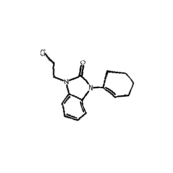 O=c1n(CCCl)c2ccccc2n1C1=CCCCC1